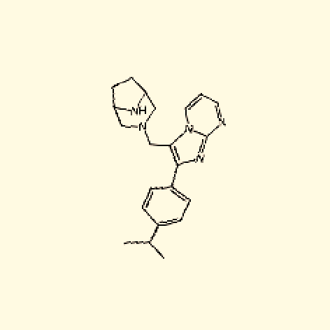 CC(C)c1ccc(-c2nc3ncccn3c2CN2CC3CCC(C2)N3)cc1